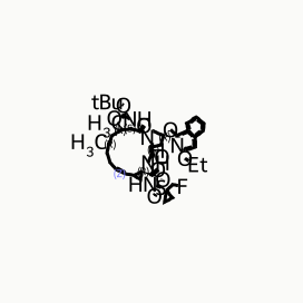 CCOc1cc2ccccc2c(O[C@@H]2C[C@H]3C(=O)N[C@]4(C(=O)NS(=O)(=O)C5(CF)CC5)CC4/C=C\CC[C@@H](C)C[C@@H](C)[C@H](NC(=O)OC(C)(C)C)C(=O)N3C2)n1